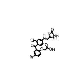 O=C(O)COc1ccc(Br)cc1C(=O)c1ccc(NCc2nc(=O)[nH][nH]2)cc1Cl